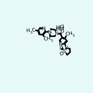 Cc1cnc(N2CCN(C(=O)c3cnc(N4CCCS4(=O)=O)cc3C)CC2)c(C)c1.Cl.Cl